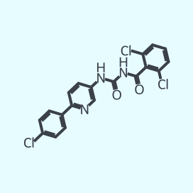 O=C(NC(=O)c1c(Cl)cccc1Cl)Nc1ccc(-c2ccc(Cl)cc2)nc1